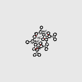 N#Cc1ccccc1-c1cc(-c2nc(-c3ccccc3)cc(-c3ccccc3)n2)cc(-c2ccccc2C#N)c1-n1c2ccc(-c3ccc4c5ccccc5n(-c5ccc6c(c5)c5cc(-n7c8ccccc8c8ccccc87)ccc5n6-c5c(-c6ccccc6C#N)cc(-c6nc(-c7ccccc7)cc(-c7ccccc7)n6)cc5-c5ccccc5C#N)c4c3)cc2c2cc(-n3c4ccccc4c4ccccc43)ccc21